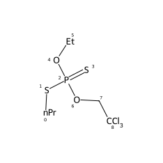 CCCSP(=S)(OCC)OCC(Cl)(Cl)Cl